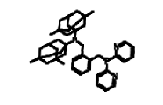 CC12CC3CC(C)(C1)CC(P(Cc1ccccc1CP(c1ccccn1)c1ccccn1)C14CC5CC(C)(CC(C)(C5)C1)C4)(C3)C2